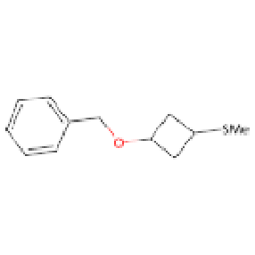 CSC1CC(OCc2ccccc2)C1